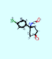 O=C=NC1(c2ccc(Br)cc2)CCC(=O)CC1